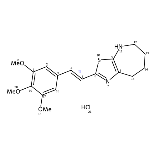 COc1cc(/C=C/c2nc3c(s2)NCCCC3)cc(OC)c1OC.Cl